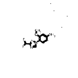 COc1cc(N)ccc1-n1cnc(C(F)F)n1